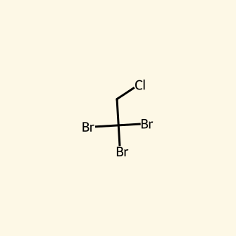 ClCC(Br)(Br)Br